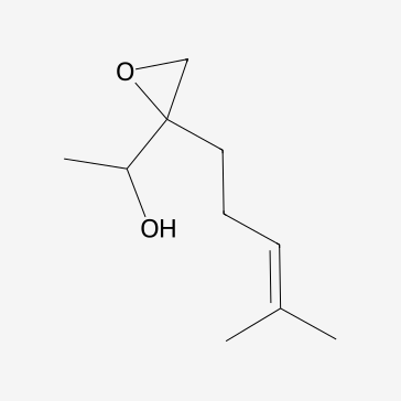 CC(C)=CCCC1(C(C)O)CO1